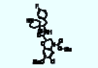 COc1cc2c(cc1Cl)N(C(=O)OC(C)(C)C)CC(C(=O)NC(Cc1ccc(F)cc1)C1(O)CCNCC1)O2